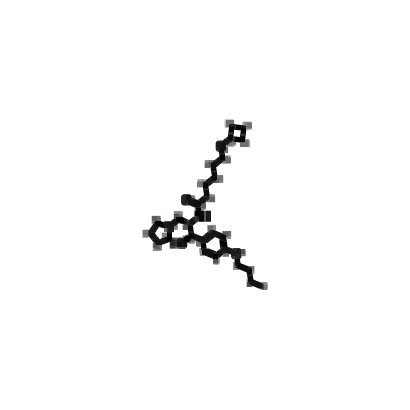 CCCCOc1ccc([C@@H](O)[C@@H](CN2CCCC2)NC(=O)CCCCCOC2CCC2)cc1